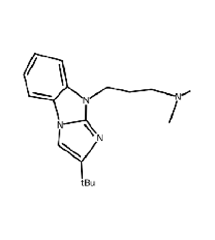 CN(C)CCCn1c2ccccc2n2cc(C(C)(C)C)nc12